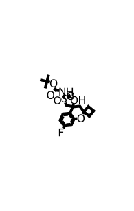 CC(C)(C)OC(=O)NS(=O)(=O)CC1(O)CC2(CCC2)Oc2cc(F)ccc21